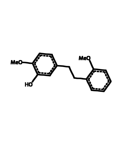 COc1ccc(CCc2ccccc2OC)cc1O